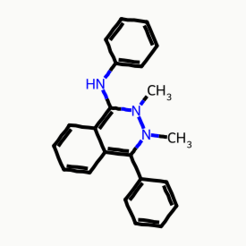 CN1C(Nc2ccccc2)=c2ccccc2=C(c2ccccc2)N1C